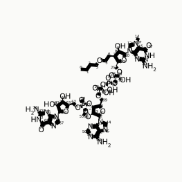 CCCCOCC[C@H]1[C@@H](O)[C@H](n2c[n+](C)c3c(=O)[nH]c(N)nc32)O[C@@H]1COP(=O)(O)OP(=O)(O)OP(=O)(O)OC[C@H]1O[C@@H](n2cnc3c(N)ncnc32)[C@H](OC)[C@@H]1OP(=O)([O-])OC[C@H]1O[C@@H](n2cnc3c(=O)[nH]c(N)nc32)[C@H](O)[C@@H]1O